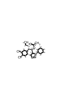 C=CC[C@@H](c1ccc(Cl)c(Cl)c1)[C@@H](OC(C)=O)c1cnnn1-c1ccccc1